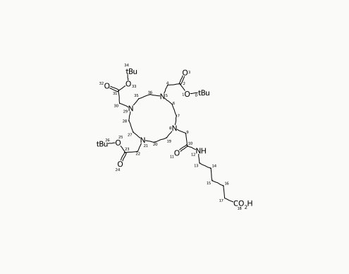 CC(C)(C)OC(=O)CN1CCN(CC(=O)NCCCCCC(=O)O)CCN(CC(=O)OC(C)(C)C)CCN(CC(=O)OC(C)(C)C)CC1